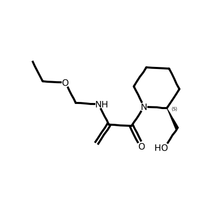 C=C(NCOCC)C(=O)N1CCCC[C@H]1CO